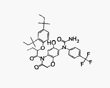 CCC(Oc1ccc(C(C)(C)CC)cc1C(C)(C)CC)C(=O)N1C(=O)COc2cc(N(C(N)=O)c3ccc(C(F)(F)F)cc3)c(O)cc21